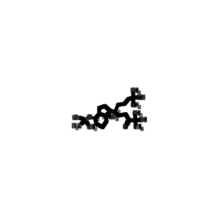 CC(C)(O)CCC[C@@H](CCC(=O)C(C)(C)O)C1CCC2[C@@H](O[Si](C)(C)C(C)(C)C)CCC[C@]12C